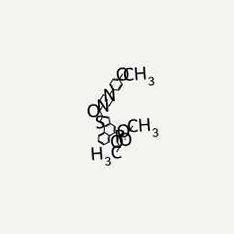 CCOP(=O)(OCC)c1cc2cc(C(=O)N3CCN(c4ccc(OC)cc4)CC3)sc2c2ccccc12